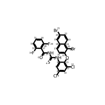 O=C(NC(=S)Nc1cc(Cl)cc(Cl)c1Oc1ccc2cc(Br)ccc2c1Br)c1c(F)cccc1F